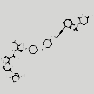 CCn1c(=O)n(C2CCC(=O)NC2=O)c2cccc(C#CCOC3CCN(C[C@H]4CC[C@H](n5cc(NC(=O)c6cnn7ccc(N8C[C@H]9C[C@@H]8CO9)nc67)c(C(F)F)n5)CC4)CC3)c21